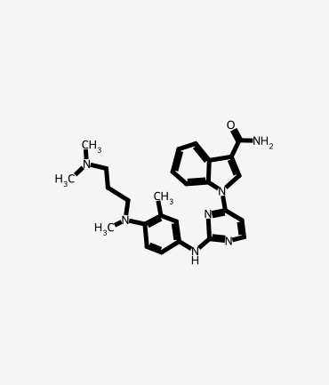 Cc1cc(Nc2nccc(-n3cc(C(N)=O)c4ccccc43)n2)ccc1N(C)CCCN(C)C